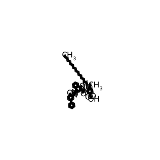 CCCCCCCCCCCCCCCCCCN(C)c1ccc(S(=O)(=O)O)cc1NC(=O)c1cc(/N=N/c2cc(-c3ccccc3)ccc2O)c2ccccc2c1O